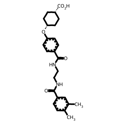 Cc1ccc(C(=O)NCCNC(=O)c2ccc(O[C@H]3CC[C@@H](C(=O)O)CC3)cc2)cc1C